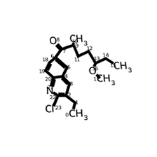 CCc1cc2cc(C(=O)C(C)CCC(CC)OC)ccc2nc1Cl